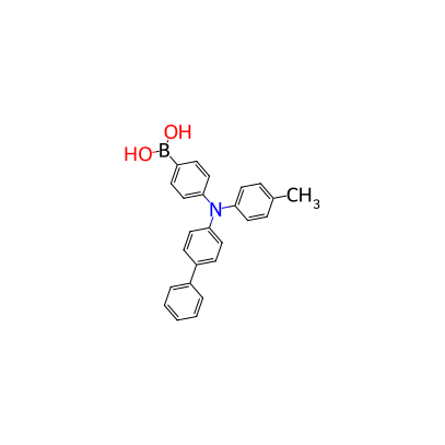 Cc1ccc(N(c2ccc(B(O)O)cc2)c2ccc(-c3ccccc3)cc2)cc1